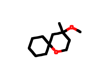 COC1(C)CCOC2(CCCCC2)C1